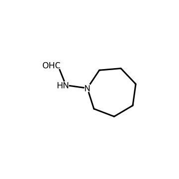 O=CNN1CCCCCC1